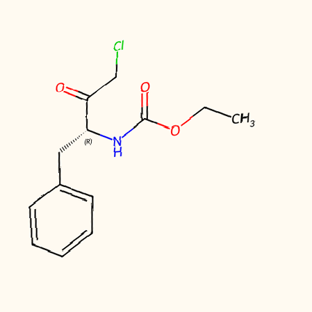 CCOC(=O)N[C@H](Cc1ccccc1)C(=O)CCl